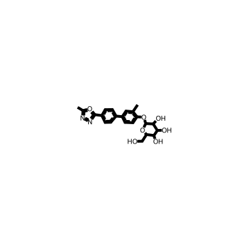 Cc1nnc(-c2ccc(-c3ccc(OC4OC(CO)C(O)C(O)C4O)c(C)c3)cc2)o1